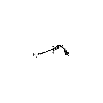 CCCCCCCCCCCCCCCCNC(=O)OCOc1ccc2ccc(OCCCCN3CCN(c4cccc5sccc45)CC3)cc2n1